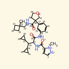 Cn1nccc1C(=O)N[C@H](C(=O)Nc1cccc(C2(C(=O)NCC3(C)CCC3)CCOC2)c1)C(C1CC1)C1CC1